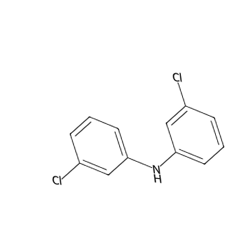 Clc1cccc(Nc2cccc(Cl)c2)c1